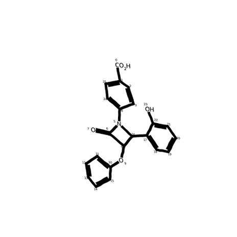 O=C(O)c1ccc(N2C(=O)C(Oc3ccccc3)C2c2ccccc2O)cc1